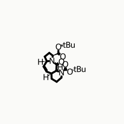 CC(C)(C)OC(=O)[C@@H]1CC[C@@H]2C=C[C@@H]3CCCN(C(=O)OC(C)(C)C)[C@H]3C(=O)N21